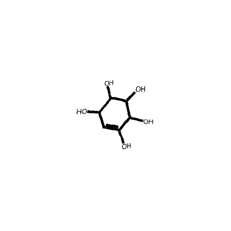 OC1=CC(O)C(O)C(O)C1O